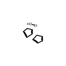 C1=CCC=C1.C1=CCC=C1.CCO